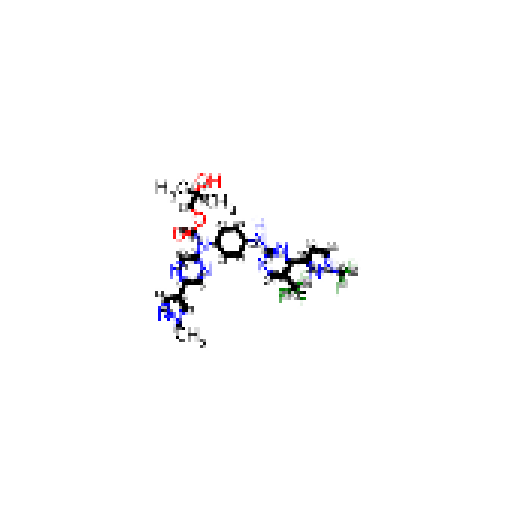 Cn1cc(-c2cnc(N(C(=O)OCC(C)(C)O)[C@H]3CC[C@H](Nc4ncc(C(F)(F)F)c(-c5ccn(C(F)F)n5)n4)CC3)cn2)cn1